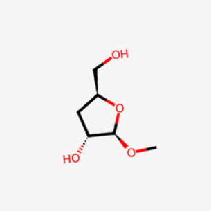 CO[C@@H]1O[C@H](CO)C[C@H]1O